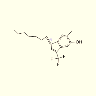 CCCCCC/C=C1\C=C(C(F)(F)F)c2cc(O)c(C)cc21